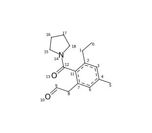 CCc1cc(C)cc(CC=O)c1C(=O)N1CCCC1